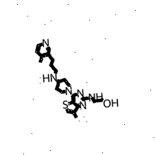 Cc1ccncc1CCCNC1CCN(c2nc(NCCO)nc3c(C)csc23)CC1